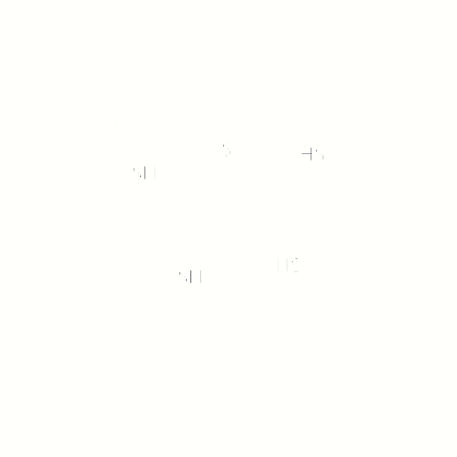 C1=C[SH](c2sc([SH]3C=CC=C3)c([SH]3C=CC=C3)c2[SH]2C=CC=C2)C=C1